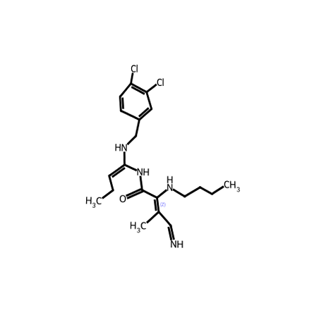 CCC=C(NCc1ccc(Cl)c(Cl)c1)NC(=O)/C(NCCCC)=C(\C)C=N